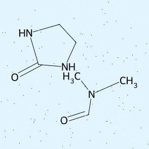 CN(C)C=O.O=C1NCCN1